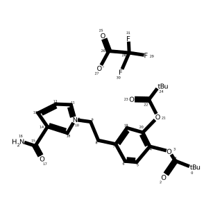 CC(C)(C)C(=O)Oc1ccc(CC[n+]2cccc(C(N)=O)c2)cc1OC(=O)C(C)(C)C.O=C([O-])C(F)(F)F